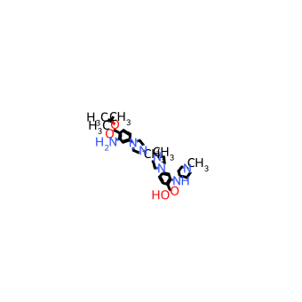 CN1CCC(Nc2cc(N3CCN(C)CC3)ccc2C(=O)O)CC1.CN1CCN(c2ccc(C(=O)OC(C)(C)C)c(N)c2)CC1